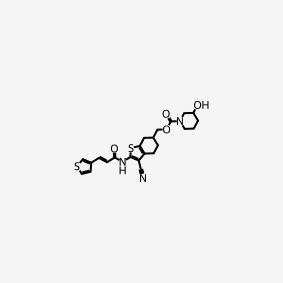 N#Cc1c(NC(=O)C=Cc2ccsc2)sc2c1CCC(COC(=O)N1CCCC(O)C1)C2